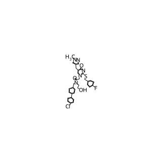 Cn1cc(Cc2cn(CC(=O)N(CCO)Cc3ccc(-c4ccc(Cl)cc4)cc3)c(SCc3ccc(F)cc3)nc2=O)cn1